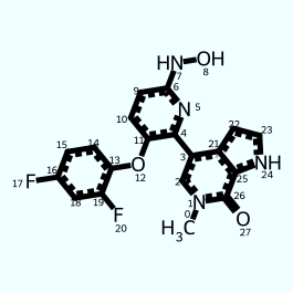 Cn1cc(-c2nc(NO)ccc2Oc2ccc(F)cc2F)c2cc[nH]c2c1=O